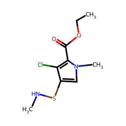 CCOC(=O)c1c(Cl)c(SNC)cn1C